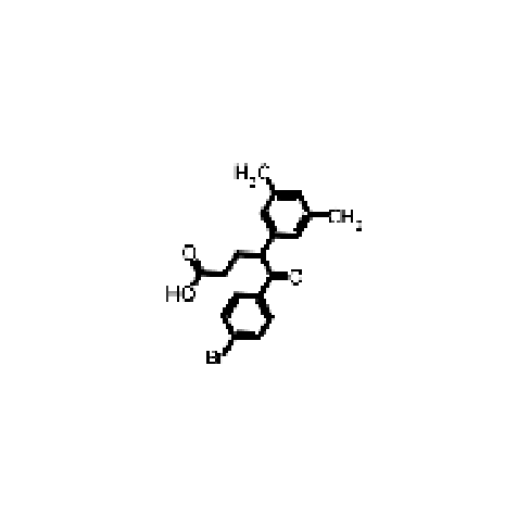 Cc1cc(C)cc(C(CCC(=O)O)C(=O)c2ccc(Br)cc2)c1